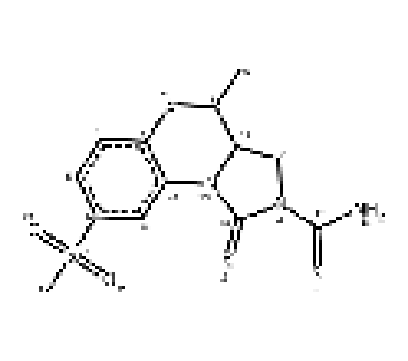 CC1Sc2ccc(S(C)(=O)=O)cc2N2C(=S)N(C(N)=S)CC12